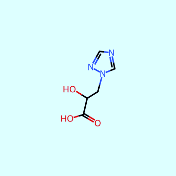 O=C(O)C(O)Cn1cncn1